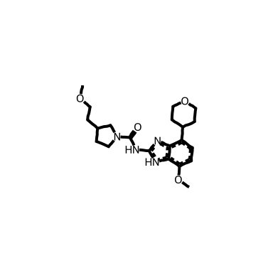 COCCC1CCN(C(=O)Nc2nc3c(C4CCOCC4)ccc(OC)c3[nH]2)C1